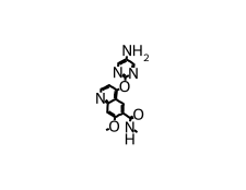 CNC(=O)c1cc2c(Oc3ncc(N)cn3)ccnc2cc1OC